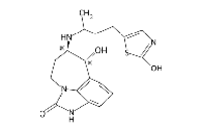 CC(CCc1cnc(O)s1)N[C@@H]1CCn2c(=O)[nH]c3cccc(c32)[C@H]1O